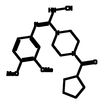 COc1ccc(N=C(NC#N)N2CCN(C(=O)C3CCCC3)CC2)cc1OC